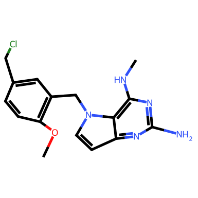 CNc1nc(N)nc2ccn(Cc3cc(CCl)ccc3OC)c12